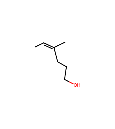 CC=C(C)CCCO